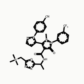 CC(NC(=O)c1c(-c2ccnn2-c2ccc(C#N)cc2)n(C)n(-c2cccc(C(F)(F)F)c2)c1=O)c1nnc(C[N+](C)(C)C)o1